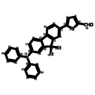 CCC1(CC)c2cc(-c3ccc(C=O)s3)ccc2-c2ccc(N(c3ccccc3)c3ccccc3)cc21